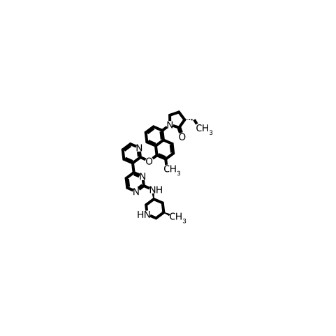 CC[C@H]1CCN(c2cccc3c(Oc4ncccc4-c4ccnc(N[C@@H]5CNC[C@H](C)C5)n4)c(C)ccc23)C1=O